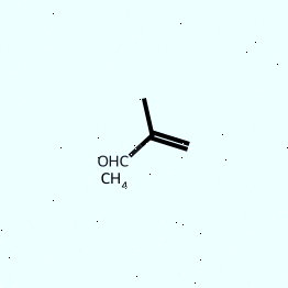 C.C=C(C)C=O